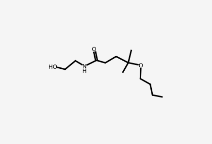 CCCCOC(C)(C)CCC(=O)NCCO